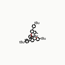 CC1=Cc2c(-c3ccc(C(C)(C)C)cc3)ccc(-c3ccc(C(C)(C)C)cc3)c2[CH]1[Zr]([CH]1C(C)=Cc2c(-c3ccc(C(C)(C)C)cc3)ccc(-c3ccc(C(C)(C)C)cc3)c21)[SiH](C)C